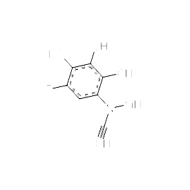 C#CN([SiH3])c1cc(F)c(C)c(C)c1C